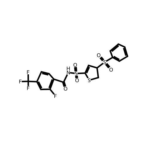 O=C(NS(=O)(=O)C1=CC(S(=O)(=O)c2ccccc2)CS1)c1ccc(C(F)(F)F)cc1F